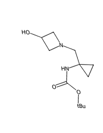 CC(C)(C)OC(=O)NC1(CN2CC(O)C2)CC1